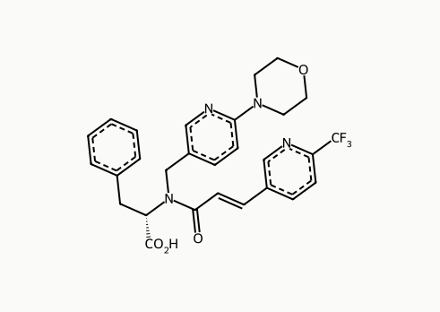 O=C(O)[C@H](Cc1ccccc1)N(Cc1ccc(N2CCOCC2)nc1)C(=O)/C=C/c1ccc(C(F)(F)F)nc1